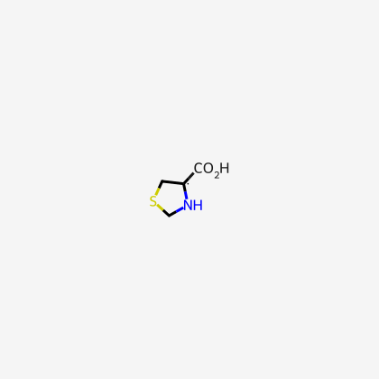 O=C(O)[C]1CSCN1